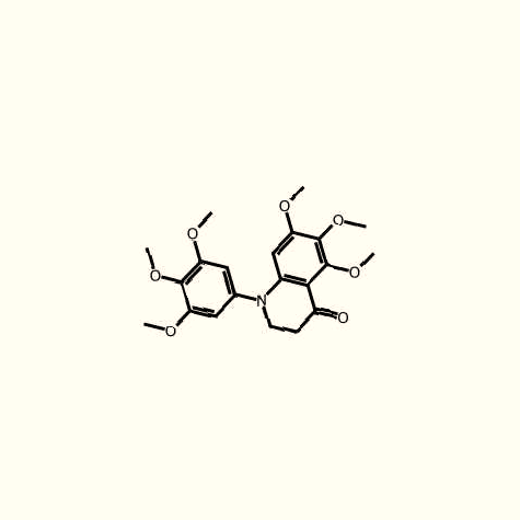 COc1cc(N2CCC(=O)c3c2cc(OC)c(OC)c3OC)cc(OC)c1OC